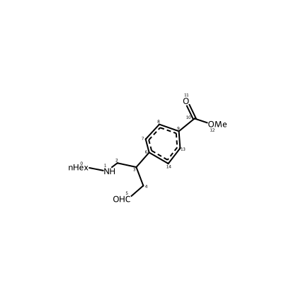 CCCCCCNCC(CC=O)c1ccc(C(=O)OC)cc1